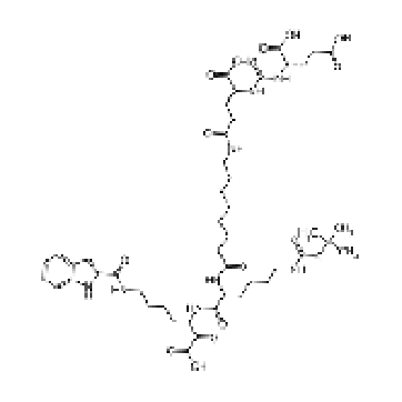 CC(C)(C)OC(=O)NCCCC[C@H](NC(=O)CCCCCCCNC(=O)CC[C@H](NC(=O)N[C@@H](CCC(=O)O)C(=O)O)C(=O)O)C(=O)N[C@@H](CCCCNC(=O)c1cc2ccccc2[nH]1)C(=O)C(=O)O